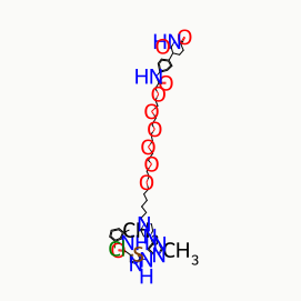 Cc1nc(Nc2ncc(C(=O)Nc3c(C)cccc3Cl)s2)cc(N2CCN(CCCCCCOCCOCCOCCOCCOCCOCC(=O)Nc3ccc(C4CCC(=O)NC4=O)cc3)CC2)n1